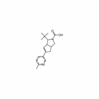 Cc1ccc(C2=CC3C(C2)CN(C(=O)O)C3C(C)(C)C)cn1